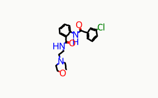 O=C(Nc1ccccc1C(=O)NCCN1CCOCC1)c1cccc(Cl)c1